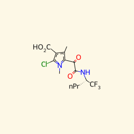 CCC[C@H](NC(=O)C(=O)c1c(C)c(C(=O)O)c(Cl)n1C)C(F)(F)F